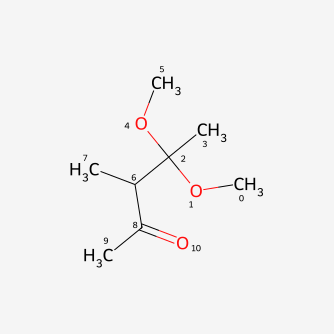 COC(C)(OC)C(C)C(C)=O